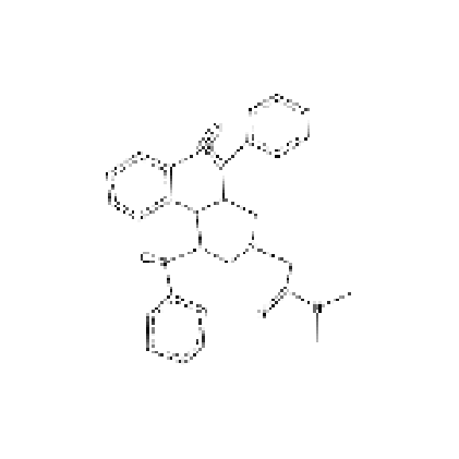 CN(C)C(=O)CN1CC(C(=O)c2ccccc2)C(c2ccccc2C#N)C(C(=O)c2ccccc2)C1